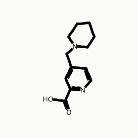 O=C(O)c1cc(CN2CCCCC2)ccn1